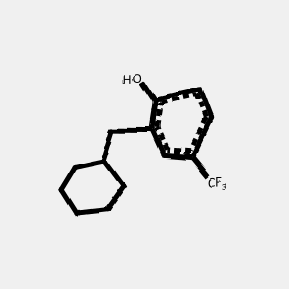 Oc1ccc(C(F)(F)F)cc1CC1CCCCC1